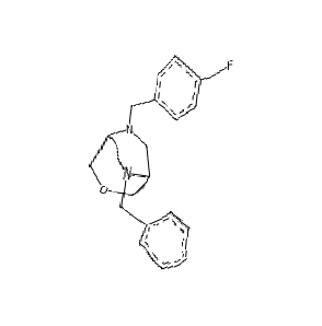 Fc1ccc(CN2CC3COCC2CN3Cc2ccccc2)cc1